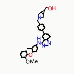 COc1ccccc1Oc1ccc(Nc2ncnc3ccc(-c4ccc(CN5CC6C(CO)C6C5)cc4)cc23)cc1C